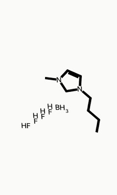 B.CCCCN1C=CN(C)C1.F.F.F.F